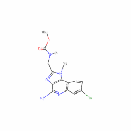 CCN(Cc1nc2c(N)nc3cc(Br)ccc3c2n1CC)C(=O)OC(C)(C)C